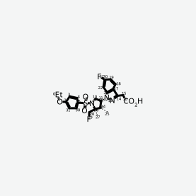 CCOc1ccc(S(=O)(=O)N2C[C@H](n3nc(CC(=O)O)c4ccc(F)cc43)[C@H](C)[C@@]2(C)CF)cc1